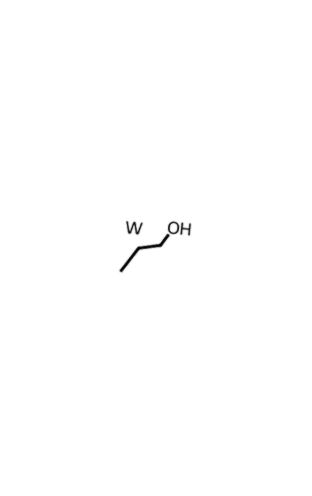 CCCO.[W]